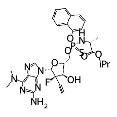 C#C[C@@]1(F)[C@H](O)[C@@H](CO[P@@](=S)(N[C@H](C)C(=O)OC(C)C)Oc2cccc3ccccc23)O[C@H]1n1cnc2c(N(C)C)nc(N)nc21